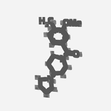 COc1cc(C(=O)N2CCC(N3CCCC3)CC2)ccc1C